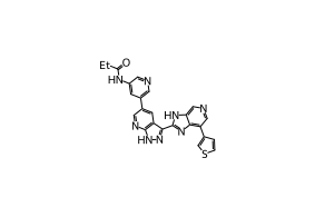 CCC(=O)Nc1cncc(-c2cnc3[nH]nc(-c4nc5c(-c6ccsc6)cncc5[nH]4)c3c2)c1